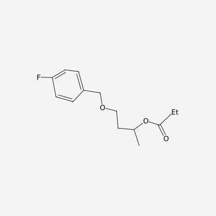 CCC(=O)OC(C)CCOCc1ccc(F)cc1